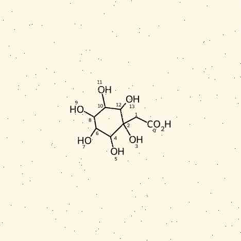 O=C(O)CC1(O)C(O)C(O)C(O)C(O)C1O